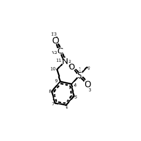 CS(=O)(=O)c1ccccc1CN=C=O